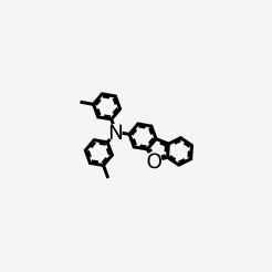 Cc1cccc(N(c2cccc(C)c2)c2ccc3c(c2)oc2ccccc23)c1